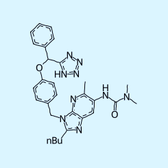 CCCCc1nc2cc(NC(=O)N(C)C)c(C)nc2n1Cc1ccc(OC(c2ccccc2)c2nnn[nH]2)cc1